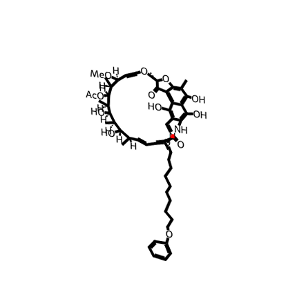 CO[C@H]1/C=C/O[C@@]2(C)Oc3c(C)c(O)c4c(O)c(c(/C=N/OCCCCCCCCCCOc5ccccc5)c(O)c4c3C2=O)NC(=O)/C(C)=C\C=C\[C@H](C)[C@H](O)[C@@H](C)[C@@H](O)[C@@H](C)[C@H](OC(C)=O)[C@@H]1C